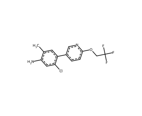 Cc1cc(-c2ccc(OCC(F)(F)F)nc2)c(Cl)cc1N